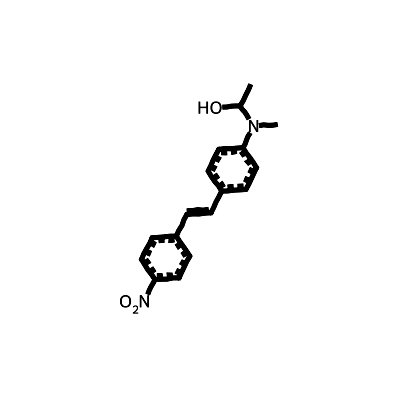 CC(O)N(C)c1ccc(/C=C/c2ccc([N+](=O)[O-])cc2)cc1